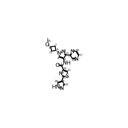 O=C(Nc1cn([C@H]2C[C@@H](OI)C2)nc1-c1cnccn1)c1csc(-c2cn[nH]c2)n1